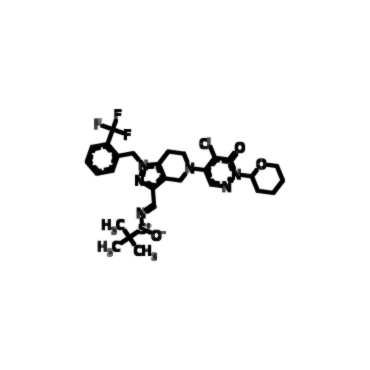 CC(C)(C)[S+]([O-])N=Cc1nn(Cc2ccccc2C(F)(F)F)c2c1CN(c1cnn(C3CCCCO3)c(=O)c1Cl)CC2